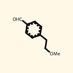 COCCc1ccc(C=O)cc1